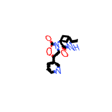 C=C1NC(=O)C2(N3CC(c4cccnc4)OC3=O)CC1C2